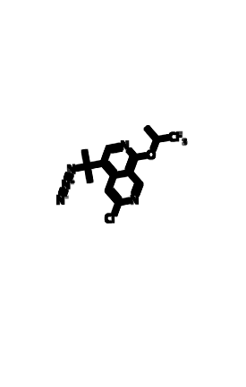 CC(Oc1ncc(C(C)(C)N=[N+]=[N-])c2cc(Cl)ncc12)C(F)(F)F